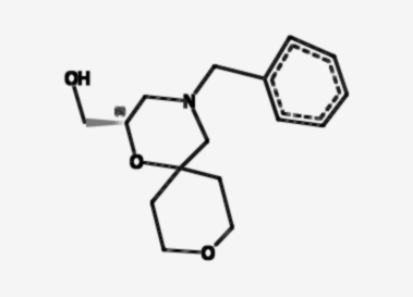 OC[C@@H]1CN(Cc2ccccc2)CC2(CCOCC2)O1